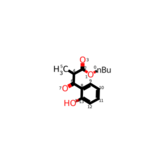 CCCCOC(=O)C(C)C(=O)c1ccccc1O